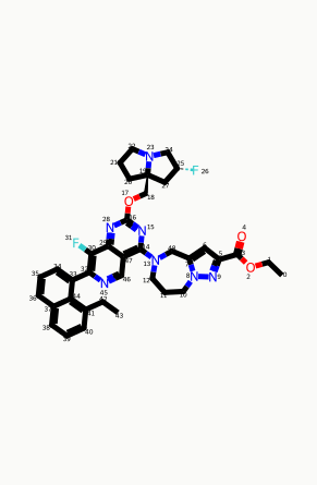 CCOC(=O)c1cc2n(n1)CCCN(c1nc(OC[C@@]34CCCN3C[C@H](F)C4)nc3c(F)c(-c4cccc5cccc(CC)c45)ncc13)C2